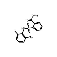 CCc1cccc(C)c1NS(=O)(=O)c1ccccc1C(=O)OC